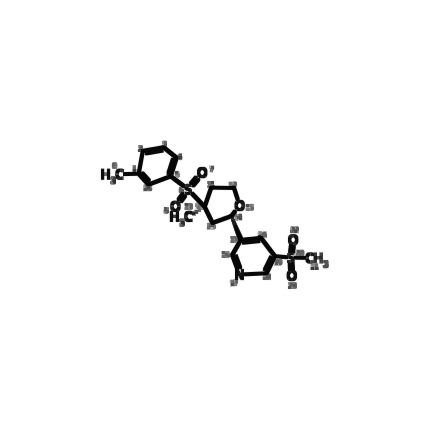 Cc1cccc(S(=O)(=O)[C@@]2(C)CCO[C@@H](c3cncc(S(C)(=O)=O)c3)C2)c1